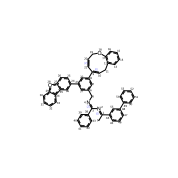 C/C(=N\C(=N/Cc1cc(C2=C/Cc3ccccc3OC/C=C\2)cc(-c2ccc3oc4ccccc4c3c2)c1)c1ccccc1)c1cccc(-c2ccccc2)c1